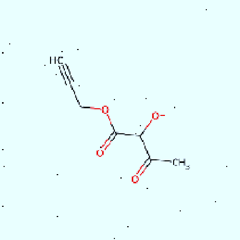 C#CCOC(=O)C(O)C(C)=O